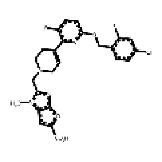 Cn1c(CN2CC=C(c3nc(OCc4ccc(Cl)cc4F)ccc3F)CC2)nc2oc(C(=O)O)cc21